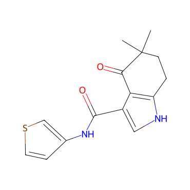 CC1(C)CCc2[nH]cc(C(=O)Nc3ccsc3)c2C1=O